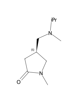 CC(C)N(C)C[C@@H]1CC(=O)N(C)C1